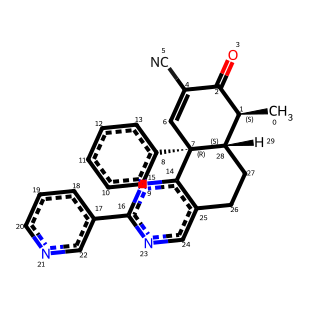 C[C@@H]1C(=O)C(C#N)=C[C@]2(c3ccccc3)c3nc(-c4cccnc4)ncc3CC[C@@H]12